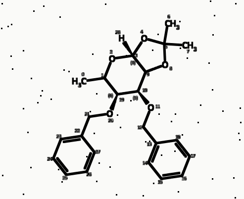 CC1O[C@@H]2OC(C)(C)OC2[C@@H](OCc2ccccc2)[C@H]1OCc1ccccc1